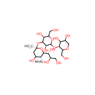 CC(=O)N[C@@H]1C(O)C[C@](OC2[C@H](O)C(O[C@@H]3C(CO)OCC(O)C3O)OC(CO)[C@@H]2O)(C(=O)O)OC1[C@H](O)[C@H](O)CO